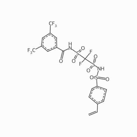 C=Cc1ccc(S(=O)(=O)NS(=O)(=O)C(F)(F)S(=O)(=O)NC(=O)c2cc(C(F)(F)F)cc(C(F)(F)F)c2)cc1